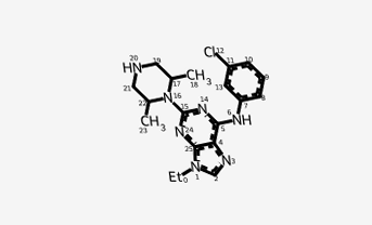 CCn1cnc2c(Nc3cccc(Cl)c3)nc(N3C(C)CNCC3C)nc21